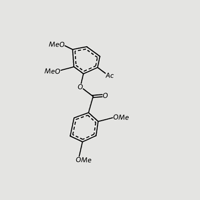 COc1ccc(C(=O)Oc2c(C(C)=O)ccc(OC)c2OC)c(OC)c1